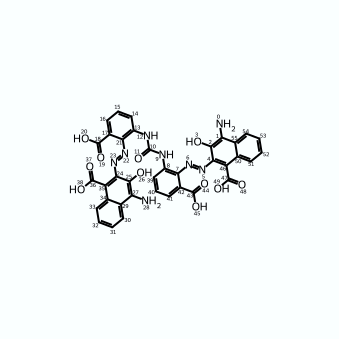 Nc1c(O)c(N=Nc2c(NC(=O)Nc3cccc(C(=O)O)c3N=Nc3c(O)c(N)c4ccccc4c3C(=O)O)cccc2C(=O)O)c(C(=O)O)c2ccccc12